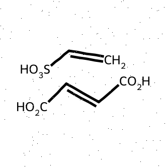 C=CS(=O)(=O)O.O=C(O)C=CC(=O)O